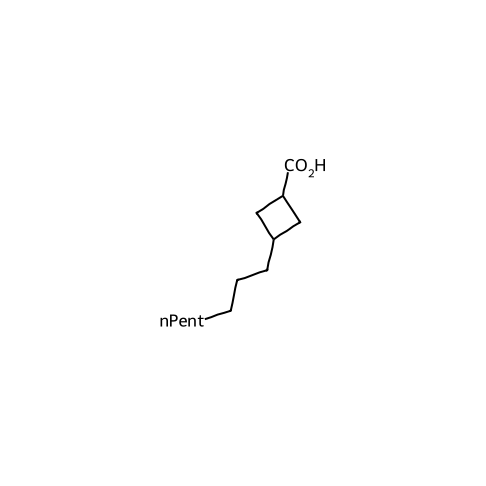 CCCCCCCCC1CC(C(=O)O)C1